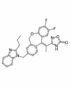 CCCc1nc2ccccc2n1Cc1ccc2c(c1)COc1cc(F)c(F)cc1/C2=C(/C)c1noc(=O)[nH]1